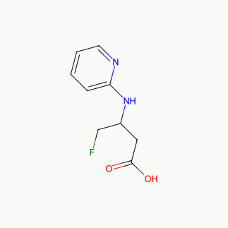 O=C(O)CC(CF)Nc1ccccn1